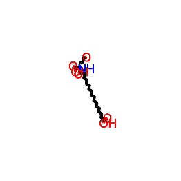 O=[C]CC[C@H](NC(=O)CCCCCCCCCCCCCCCCC(=O)O)C(=O)O